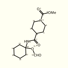 COC(=O)N1CCC(C(=O)NC2(OC=O)CCCCC2)CC1